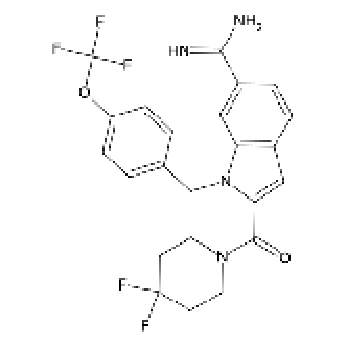 N=C(N)c1ccc2cc(C(=O)N3CCC(F)(F)CC3)n(Cc3ccc(OC(F)(F)F)cc3)c2c1